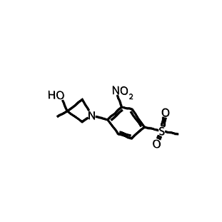 CC1(O)CN(c2ccc(S(C)(=O)=O)cc2[N+](=O)[O-])C1